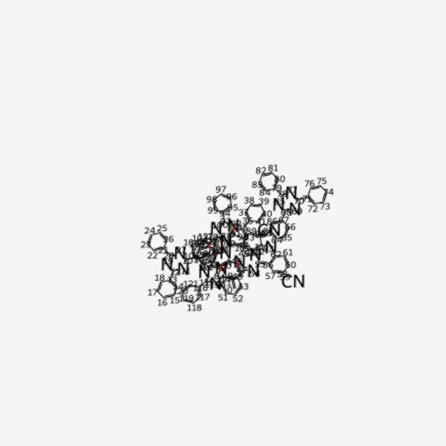 C=C(/C=C\c1c(C)c2cc(-c3nc(-c4ccccc4)nc(-c4ccccc4)n3)ccc2n1-c1ccc(-c2ccccc2C#N)cc1-c1nc(-c2ccccc2)nc(-c2cc(C#N)ccc2-n2c3ccc(-c4nc(-c5ccccc5)nc(-c5ccccc5)n4)cc3c3cc(-c4nc(-c5ccccc5)nc(-c5ccccc5)n4)ccc32)n1)c1nc(-c2ccccc2)nc(-c2ccccc2)n1